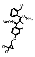 CON=C(C(C)=C(ON)c1ccccc1C[O])c1ccc(OCC2CC2(Cl)Cl)cc1F